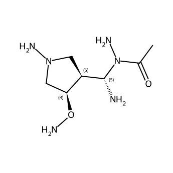 CC(=O)N(N)[C@H](N)[C@@H]1CN(N)C[C@@H]1ON